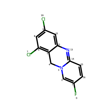 FC1=CN2Cc3c(Cl)cc(Cl)cc3N=C2C=C1